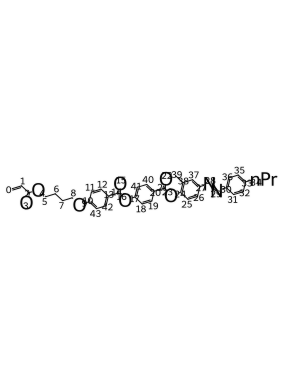 C=CC(=O)OCCCCOc1ccc(C(=O)Oc2ccc(C(=O)Oc3ccc(/N=N/c4ccc(CCC)cc4)cc3C)cc2)cc1